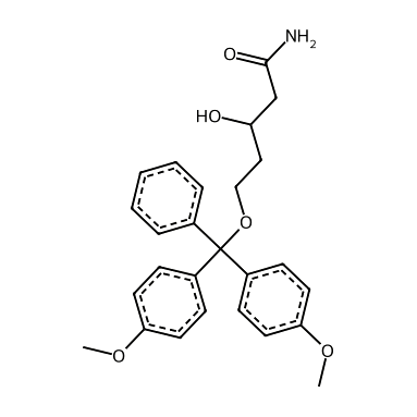 COc1ccc(C(OCCC(O)CC(N)=O)(c2ccccc2)c2ccc(OC)cc2)cc1